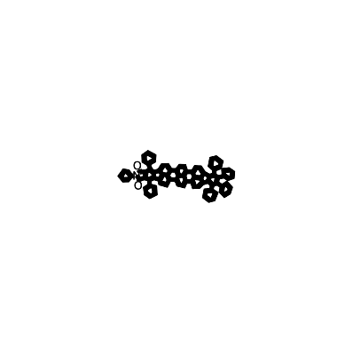 O=C1c2c(c(-c3ccccc3)c3c(c2-c2ccccc2)-c2ccc4c5ccc6c7ccc8c9c(ccc(c%10ccc(c%11ccc-3c2c4%11)c5c6%10)c97)-c2c(-c3ccccc3)c(-c3ccccc3)c(-c3ccccc3)c(-c3ccccc3)c2-8)C(=O)N1c1ccccc1